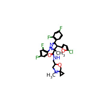 CN1CC(CNC(=O)C2(C)C(c3ccc(Cl)o3)C(c3ccc(F)cc3F)=NN2c2ccc(F)cc2F)OCC12CC2